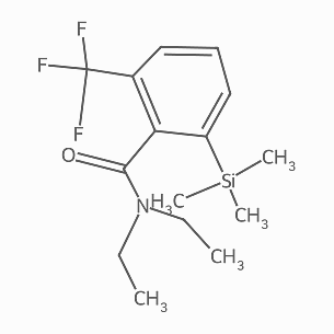 CCN(CC)C(=O)c1c(C(F)(F)F)cccc1[Si](C)(C)C